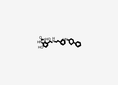 O=c1[nH]c2c(O)ccc([C@@H](O)CNCCc3cccc(NC4CCC(c5ccccc5)CC4)c3)c2s1